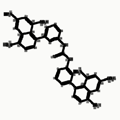 O=C(Nc1cccc(-c2ccc(S(=O)(=O)O)c3cc(S(=O)(=O)O)cc(S(=O)(=O)O)c23)c1)Nc1cccc(-c2ccc(S(=O)(=O)O)c3cc(S(=O)(=O)O)cc(S(=O)(=O)O)c23)c1